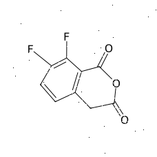 O=C1Cc2ccc(F)c(F)c2C(=O)O1